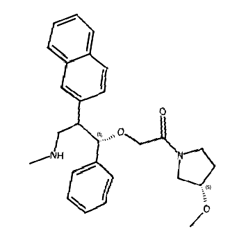 CNCC(c1ccc2ccccc2c1)[C@H](OCC(=O)N1CC[C@H](OC)C1)c1ccccc1